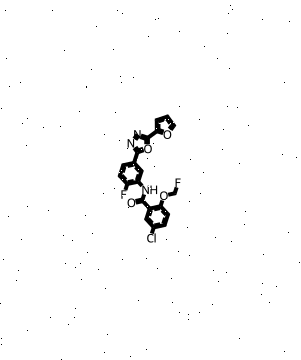 O=C(Nc1cc(-c2nnc(-c3ccco3)o2)ccc1F)c1cc(Cl)ccc1OCF